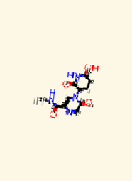 CC(C)NC(=O)c1cn(C2CCC(O)NC2=O)c(=O)cn1